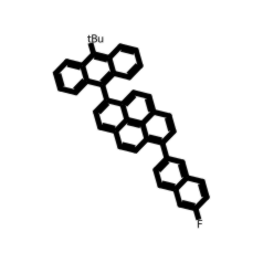 CC(C)(C)c1c2ccccc2c(-c2ccc3ccc4c(-c5ccc6cc(F)ccc6c5)ccc5ccc2c3c54)c2ccccc12